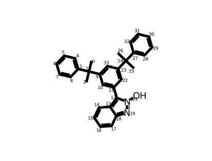 CC(C)(c1ccccc1)c1cc(-c2c3ccccc3nn2O)cc(C(C)(C)c2ccccc2)c1